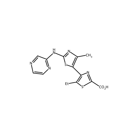 CCc1sc(C(=O)O)nc1-c1sc(Nc2cnccn2)nc1C